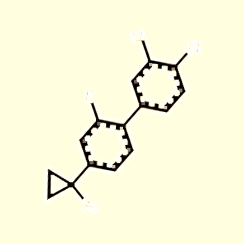 CC(=O)C1(c2ccc(-c3ccc(Cl)c(Cl)c3)c(F)c2)CC1